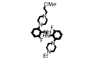 CCN1CCN(c2cccc(F)c2NNc2c(F)cccc2N2CCN(CCOC)CC2)CC1